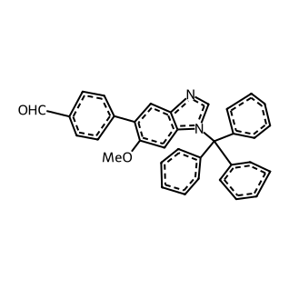 COc1cc2c(cc1-c1ccc(C=O)cc1)ncn2C(c1ccccc1)(c1ccccc1)c1ccccc1